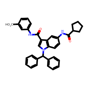 O=C(O)c1cccc(NC(=O)c2cn(C(c3ccccc3)c3ccccc3)c3ccc(NC(=O)C4CCCC4)cc23)c1